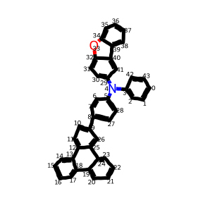 c1ccc(N(c2ccc(-c3ccc4c5ccccc5c5ccccc5c4c3)cc2)c2ccc3oc4ccccc4c3c2)cc1